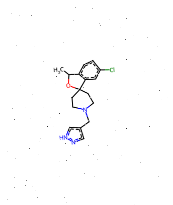 CC1OC2(CCN(Cc3cn[nH]c3)CC2)c2cc(Cl)ccc21